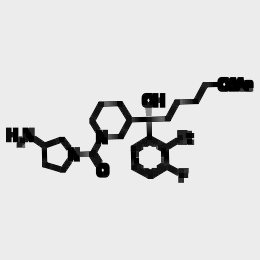 CCc1c(F)cccc1[C@](O)(CCCCOC)C1CCCN(C(=O)N2CCC(N)C2)C1